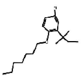 CCCCCC[CH]Oc1ccc(Cl)cc1C(C)(C)CC